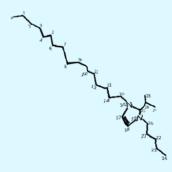 CCCCCCCCCCCCCCCCN1C=CN(CCCCC)C1C(C)C